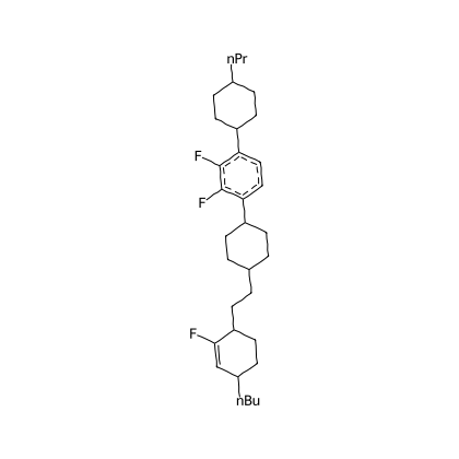 CCCCC1C=C(F)C(CCC2CCC(c3ccc(C4CCC(CCC)CC4)c(F)c3F)CC2)CC1